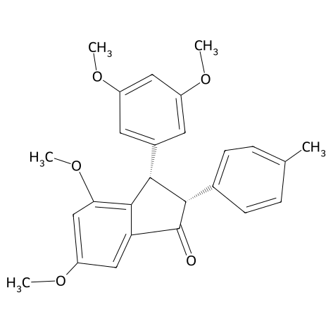 COc1cc(OC)cc([C@H]2c3c(OC)cc(OC)cc3C(=O)[C@H]2c2ccc(C)cc2)c1